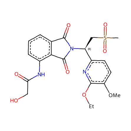 CCOc1nc([C@H](CS(C)(=O)=O)N2C(=O)c3cccc(NC(=O)CO)c3C2=O)ccc1OC